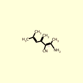 C=C(C=C(C)C)/C(C#N)=C(\C)N